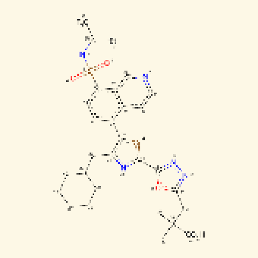 CC[C@H](NS(=O)(=O)c1ccc(-c2sc(-c3nnc(CC(C)(C)C(=O)O)o3)nc2CC2CCCCC2)c2ccncc12)C(F)(F)F